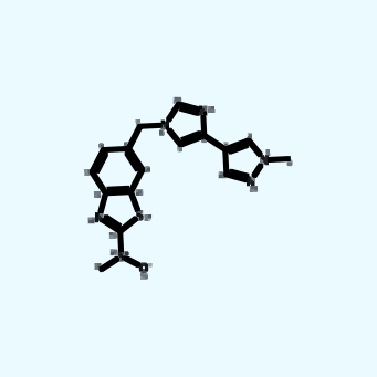 Cn1cc(-c2cn(Cc3ccc4nc([S+](C)[O-])sc4c3)cn2)cn1